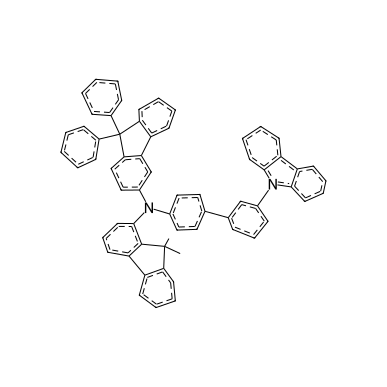 CC1(C)c2ccccc2-c2cccc(N(c3ccc(-c4cccc(-n5c6ccccc6c6ccccc65)c4)cc3)c3ccc4c(c3)-c3ccccc3C4(c3ccccc3)c3ccccc3)c21